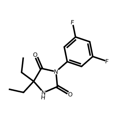 CCC1(CC)NC(=O)N(c2cc(F)cc(F)c2)C1=O